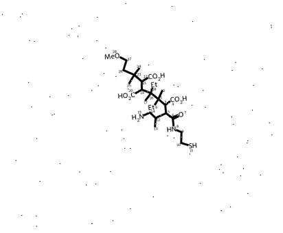 CCC(C)(C(C(=O)O)C(C(=O)NCCS)C(C)CN)C(C)(CC)C(C(=O)O)C(C(=O)O)C(C)(C)CCOC